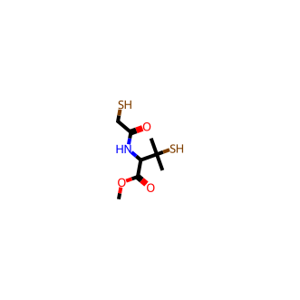 COC(=O)C(NC(=O)CS)C(C)(C)S